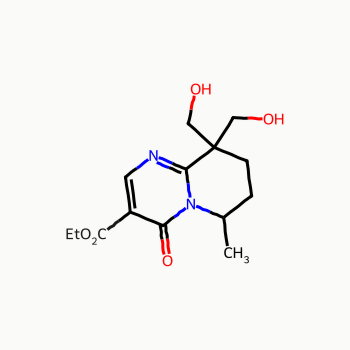 CCOC(=O)c1cnc2n(c1=O)C(C)CCC2(CO)CO